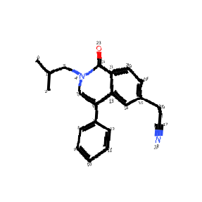 CC(C)Cn1[c]c(-c2ccccc2)c2cc(CC#N)ccc2c1=O